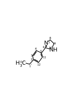 C[CH]c1ccc(C2=NCCN2)cc1